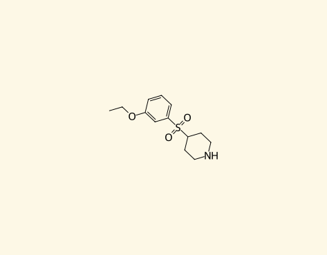 CCOc1cccc(S(=O)(=O)C2CCNCC2)c1